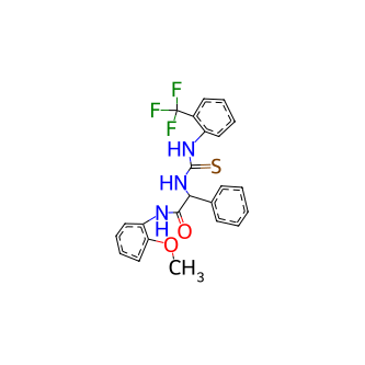 COc1ccccc1NC(=O)C(NC(=S)Nc1ccccc1C(F)(F)F)c1ccccc1